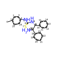 Cc1ccc(NC(=S)N[C@H](c2ccccc2)[C@H](N)c2ccccc2)cc1